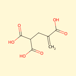 C=C(CC(C(=O)O)C(=O)O)C(=O)O